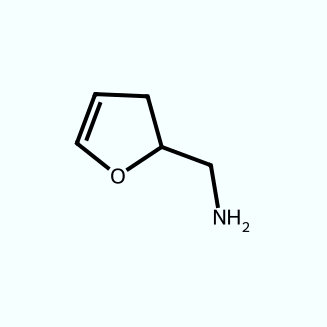 NCC1CC=CO1